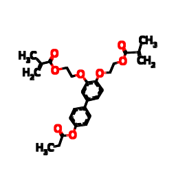 C=C(C)C(=O)OCCOc1ccc(-c2ccc(OC(=O)CC)cc2)cc1OCCOC(=O)C(=C)C